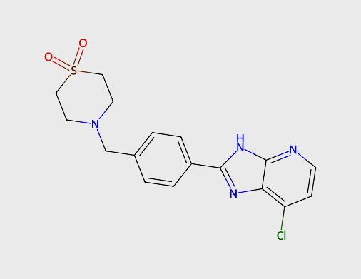 O=S1(=O)CCN(Cc2ccc(-c3nc4c(Cl)ccnc4[nH]3)cc2)CC1